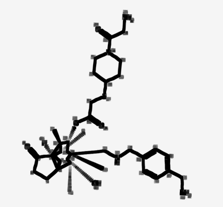 C[C@@H]1CC[C@@]23CCC(=O)[C@H]2[C@]1(C)[C@H](OC(=O)CSC1CCN(C(=O)CN)CC1)C[C@](C)(CNCc1ccc(CN)cc1)[C@@H](O)[C@@H]3C